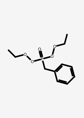 CCOOP(=O)(Cc1cc[c]cc1)OOCC